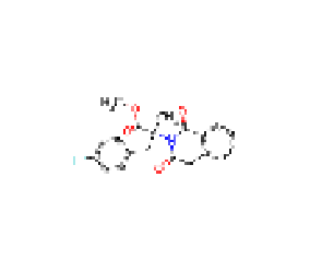 COC(=O)C(C)(Cc1ccc(F)cc1)N1C(=O)Cc2ccccc2C1=O